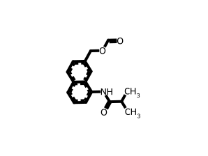 CC(C)C(=O)Nc1cccc2ccc(COC=O)cc12